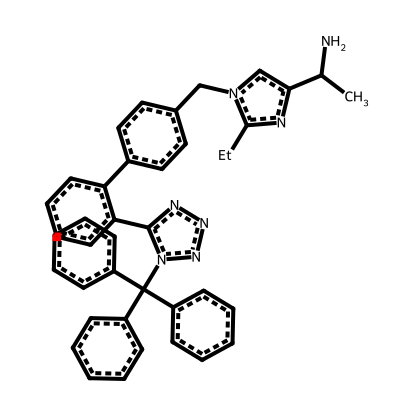 CCc1nc(C(C)N)cn1Cc1ccc(-c2ccccc2-c2nnnn2C(c2ccccc2)(c2ccccc2)c2ccccc2)cc1